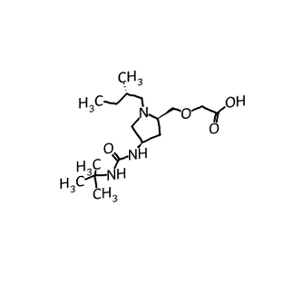 CC[C@H](C)CN1C[C@H](NC(=O)NC(C)(C)C)C[C@@H]1COCC(=O)O